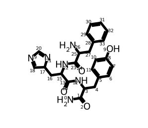 NC(=O)C(Cc1ccc(O)cc1)NC(=O)C(CC1C=NC=N1)NC(=O)C(N)Cc1ccccc1